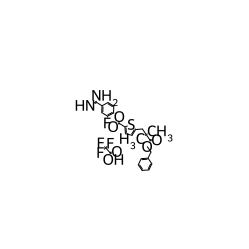 CC(C)(Cc1ccc(C(=O)Oc2ccc(C(=N)N)cc2F)s1)C(=O)OCc1ccccc1.O=C(O)C(F)(F)F